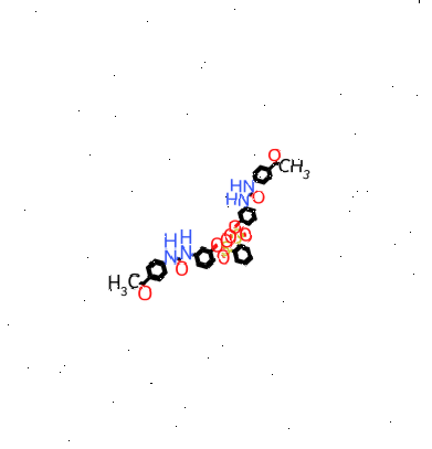 CC(=O)c1ccc(NC(=O)Nc2cccc(OS(=O)(=O)c3ccccc3S(=O)(=O)Oc3cccc(NC(=O)Nc4ccc(C(C)=O)cc4)c3)c2)cc1